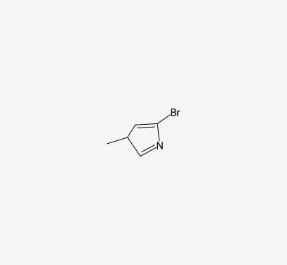 CC1C=NC(Br)=C1